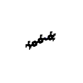 FC(F)=C(F)c1ccc(-c2ccc(/C=C/c3cc(F)c(F)c(F)c3)c(F)c2)cc1